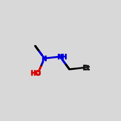 CCCNN(C)O